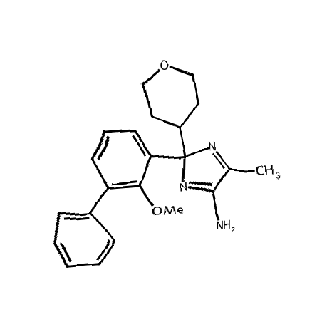 COc1c(-c2ccccc2)cccc1C1(C2CCOCC2)N=C(C)C(N)=N1